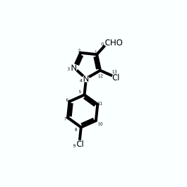 O=Cc1cnn(-c2ccc(Cl)cc2)c1Cl